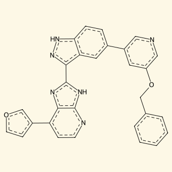 c1ccc(COc2cncc(-c3ccc4[nH]nc(-c5nc6c(-c7ccoc7)ccnc6[nH]5)c4c3)c2)cc1